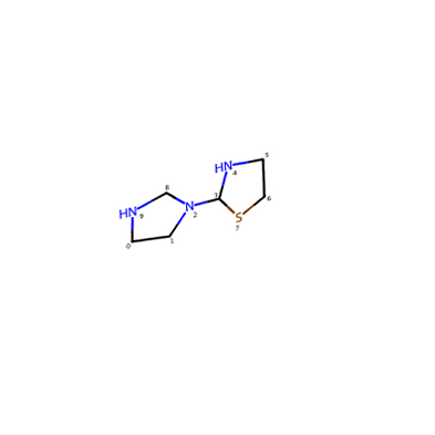 C1CN(C2NCCS2)CN1